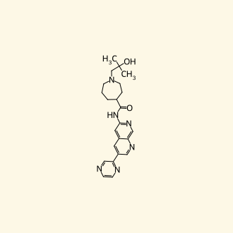 CC(C)(O)CN1CCCC(C(=O)Nc2cc3cc(-c4cnccn4)cnc3cn2)CC1